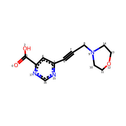 O=C(O)c1cc(C#CCN2CCOCC2)ncn1